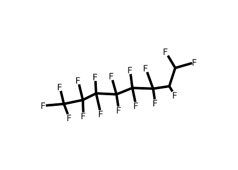 FC(F)C(F)C(F)(F)C(F)(F)C(F)(F)C(F)(F)C(F)(F)C(F)(F)F